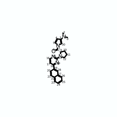 CN(C)c1ccn(C(=O)[C@@H]2CCCN2c2nccc(-c3ccc4ccccc4c3)n2)c1